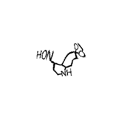 O/N=C1\CCNC2CCC3(CC12)OCCO3